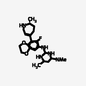 CNC1CC(C)NC(Nc2cc3c(c(C4=CCN[C@H](C)CC4)c2F)OCCO3)N1